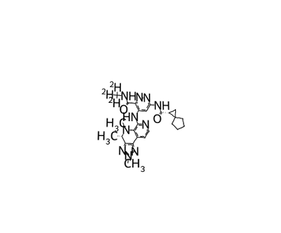 [2H]C([2H])([2H])NC(=O)c1nnc(NC(=O)[C@@H]2CC23CCCC3)cc1Nc1nccc2c1N(C)[C@@H](C)c1nn(C)nc1-2